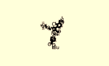 Cn1cc2c(Cl)c(-c3cn(COCC[Si](C)(C)C)c4nc(N5CC6CCC5CN6C(=O)OC(C)(C)C)n(C)c(=O)c34)ccc2n1